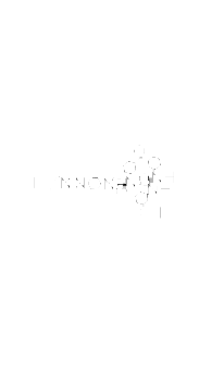 Cc1cccc(NC(=O)Nc2cccc(C(=O)c3ccc4c(c3)NC(=O)C4=CNc3ccc(N4CCN(C)CC4)cc3)c2)c1